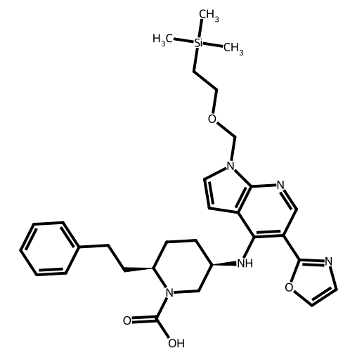 C[Si](C)(C)CCOCn1ccc2c(N[C@@H]3CC[C@H](CCc4ccccc4)N(C(=O)O)C3)c(-c3ncco3)cnc21